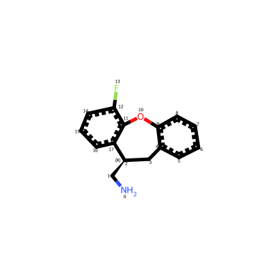 NC[C@@H]1Cc2ccccc2Oc2c(F)cccc21